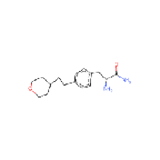 NC(=O)[C@@H](N)Cc1ccc(CCC2CCOCC2)cc1